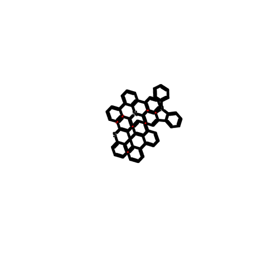 c1ccc(-c2cccc(-c3ccccc3)c2N(c2ccc3c(c2)C2(c4ccccc4S3)c3ccccc3-c3cccc4cccc2c34)c2ccc3c4ccccc4n(-c4ccccc4)c3c2)cc1